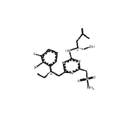 CC[C@H](Cc1nc(CS(N)(=O)=O)nc(N[C@@H](CO)CC(C)C)n1)c1cccc(F)c1F